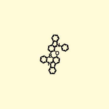 c1ccc(-n2c3ccccc3c3ccc4c(c32)Oc2ccc3c5ccccc5n5c3c2B4c2ccccc2-5)cc1